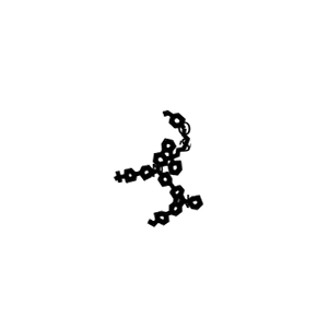 C=Cc1ccc(OCCS(C)(C)CCCC2(c3ccccc3)c3ccccc3-c3ccc(N(c4ccc(-c5ccc(C(C)(C)C)cc5)cc4)c4ccc(-c5ccc6c(c5)c5cc(-c7ccc(C=C)cc7)ccc5n6-c5ccccc5)cc4)cc32)cc1